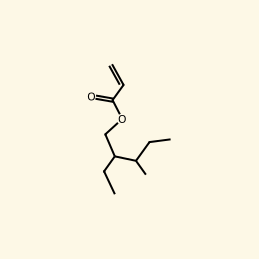 C=CC(=O)OCC(CC)C(C)CC